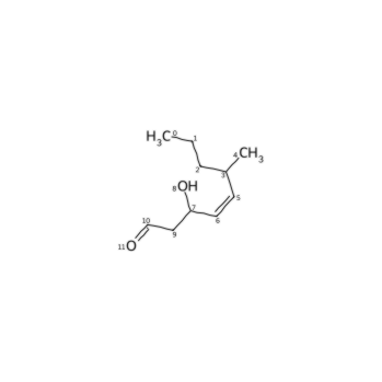 CCCC(C)/C=C\C(O)C[C]=O